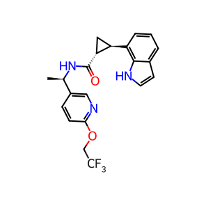 C[C@@H](NC(=O)[C@@H]1C[C@H]1c1cccc2cc[nH]c12)c1ccc(OCC(F)(F)F)nc1